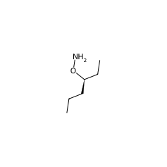 CCC[C@H](CC)ON